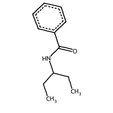 CCC(CC)NC(=O)c1ccccc1